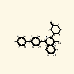 C=C1CCCC(c2nc(-c3ccc(-c4ccccc4)cc3)c3ccccc3c2C)C1